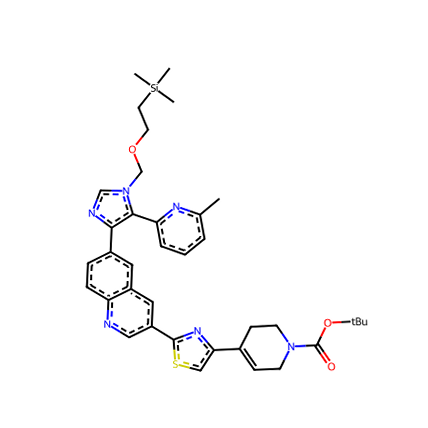 Cc1cccc(-c2c(-c3ccc4ncc(-c5nc(C6=CCN(C(=O)OC(C)(C)C)CC6)cs5)cc4c3)ncn2COCC[Si](C)(C)C)n1